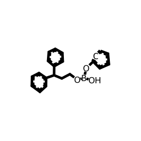 OB(OCCC(c1ccccc1)c1ccccc1)Oc1ccccc1